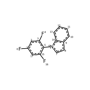 Fc1cc(F)c(-n2ccc3c[c]ccc32)c(F)c1